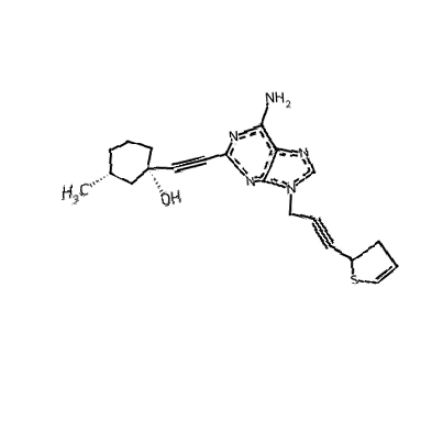 C[C@@H]1CCC[C@@](O)(C#Cc2nc(N)c3ncn(CC#CC4CC=CS4)c3n2)C1